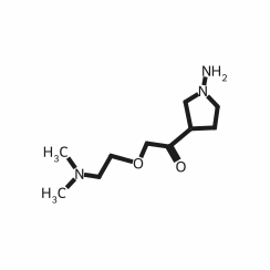 CN(C)CCOCC(=O)C1CCN(N)C1